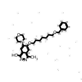 Cc1nnc(O)c2cc(N3CCOCC3)c(OCCCCCCCOCc3ccccc3)cc12